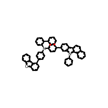 c1ccc(-c2ccccc2N(c2ccc(-c3ccc4c5ccc6ccccc6c5n(-c5ccccc5)c4c3)cc2)c2ccc(-c3cccc4oc5ccccc5c34)cc2)cc1